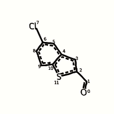 O=Cc1cc2cc(Cl)ccc2s1